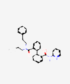 CN(C(=O)c1ccccc1-c1ccccc1C(=O)N(CCC(=O)O)CCc1ccccc1)c1ccccn1